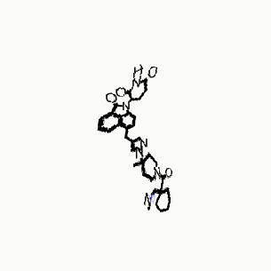 C/N=C\C1(C(=O)N2CCC(C)(n3cc(Cc4ccc5c6c(cccc46)C(=O)N5C4CCC(=O)NC4=O)cn3)CC2)CCCCC1